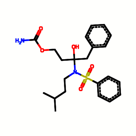 CC(C)CCN(C(O)(CCOC(N)=O)Cc1ccccc1)S(=O)(=O)c1ccccc1